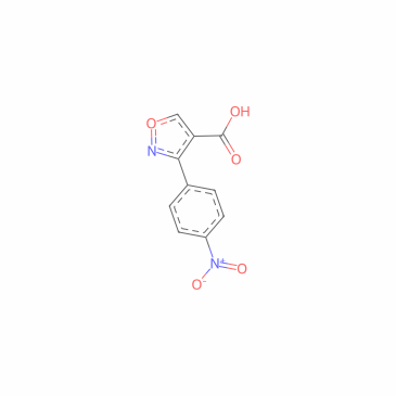 O=C(O)c1conc1-c1ccc([N+](=O)[O-])cc1